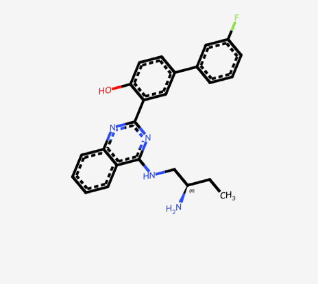 CC[C@@H](N)CNc1nc(-c2cc(-c3cccc(F)c3)ccc2O)nc2ccccc12